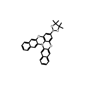 CC1(C)OB(c2cc3c4c(c2)Oc2cc5ccccc5cc2N4c2cc4ccccc4cc2O3)OC1(C)C